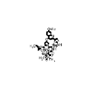 C=CC1C[C@]1(NC(=O)[C@@H]1C[C@@H](Oc2cc(-c3csc(NC(C)C)n3)nc3cc(OC)ccc23)CN1C(=O)[C@@H](NC(=O)N[C@H](C(=O)N(C)S(C)(=O)=O)C(C)(C)C)C(C)(C)C)C(=O)O